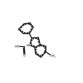 Cc1ccc2[nH]c(-c3ccccc3)cc2c1.O=CO